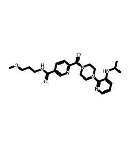 COCCCNC(=O)c1ccc(C(=O)N2CCN(c3ncccc3NC(C)C)CC2)nc1